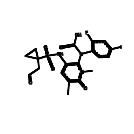 Cc1cc(NS(=O)(=O)C2(CC=O)CC2)c(N(C(=O)O)c2ccc(I)cc2F)n(C)c1=O